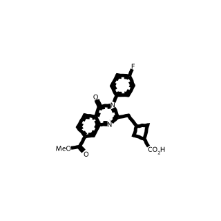 COC(=O)c1ccc2c(=O)n(-c3ccc(F)cc3)c(CC3CC(C(=O)O)C3)nc2c1